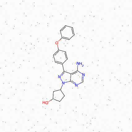 Nc1ncnc2c1c(-c1ccc(Oc3ccccc3)cc1)nn2C1CCC(O)C1